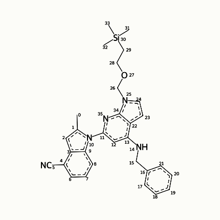 Cc1cc2c(C#N)cccc2n1-c1cc(NCc2ccccc2)c2ccn(COCC[Si](C)(C)C)c2n1